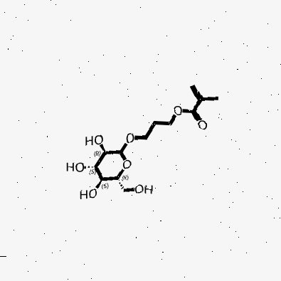 C=C(C)C(=O)OCCCOC1O[C@H](CO)[C@@H](O)[C@H](O)[C@H]1O